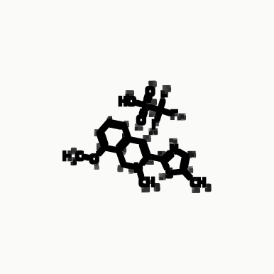 COc1cccc2c1CN(C)C(c1ncc(C)s1)=C2.O=S(=O)(O)C(F)(F)F